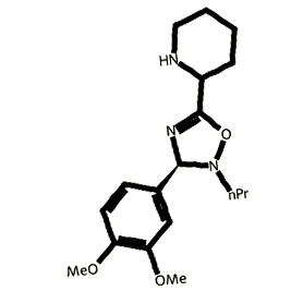 CCCN1OC(C2CCCCN2)=N[C@@H]1c1ccc(OC)c(OC)c1